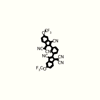 N#CC(C#N)=C1C(c2cccc(C3=C(C#N)c4cc(OC(F)(F)F)ccc4C3=C(C#N)C#N)c2)=C(C#N)c2cc(OC(F)(F)F)ccc21